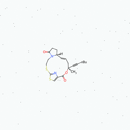 CCCCC#C[C@@]1(C)C/C=C/[C@H]2CCC(=O)N2CCSc2nc(cs2)C(=O)O1